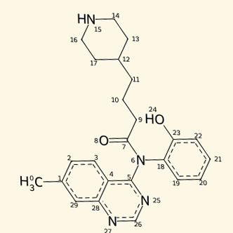 Cc1ccc2c(N(C(=O)CCCC3CCNCC3)c3ccccc3O)ncnc2c1